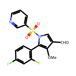 COc1c(C=O)cn(S(=O)(=O)c2cccnc2)c1-c1ccc(F)cc1F